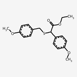 CCOC(=O)C(SCc1ccc(OC)cc1)c1ccc(OC)cc1